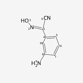 N#CC(=NO)c1cccc(N)c1